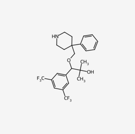 CC(C)(O)C(OCC1(c2ccccc2)CCNCC1)c1cc(C(F)(F)F)cc(C(F)(F)F)c1